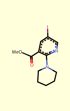 COC(=O)c1cc(I)cnc1N1CCCCC1